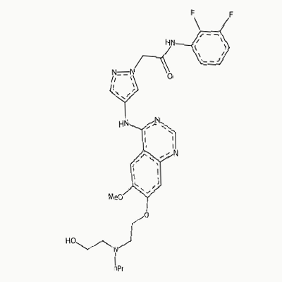 CCCN(CCO)CCOc1cc2ncnc(Nc3cnn(CC(=O)Nc4cccc(F)c4F)c3)c2cc1OC